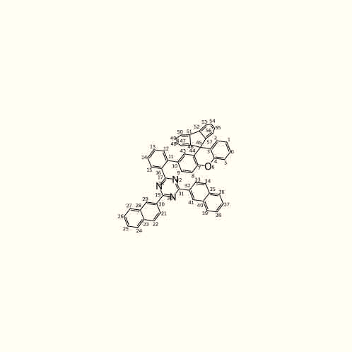 c1ccc2c(c1)Oc1ccc(-c3ccccc3-c3nc(-c4ccc5ccccc5c4)nc(-c4ccc5ccccc5c4)n3)cc1C21c2ccccc2-c2ccccc21